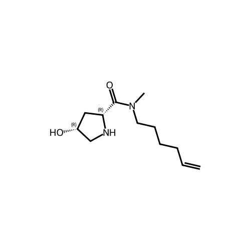 C=CCCCCN(C)C(=O)[C@H]1C[C@@H](O)CN1